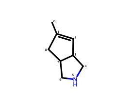 CC1=CC2CNCC2C1